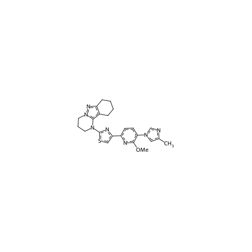 COc1nc(-c2csc(N3CCCn4nc5c(c43)CCCC5)n2)ccc1-n1cnc(C)c1